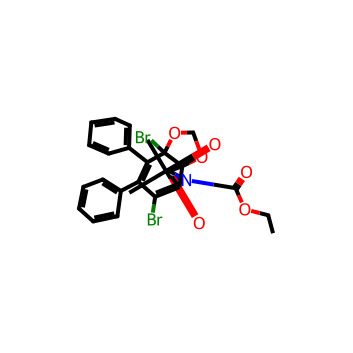 CCOC(=O)N1C(=O)C2=C(Br)C(c3ccccc3)=C(c3ccccc3)C3(Br)OCOC23C1=O